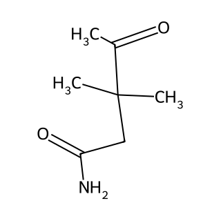 CC(=O)C(C)(C)CC(N)=O